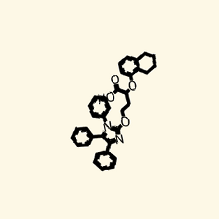 O=C(O)C(CCOc1nc(-c2ccccc2)c(-c2ccccc2)n1-c1ccccc1)Oc1cccc2c1CCCC2